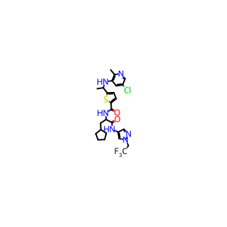 Cc1ncc(Cl)cc1NC(C)c1ccc(C(=O)NC(CC2CCCC2)C(=O)Nc2cnn(CC(F)(F)F)c2)s1